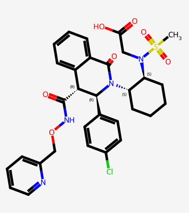 CS(=O)(=O)N(CC(=O)O)[C@H]1CCCC[C@@H]1N1C(=O)c2ccccc2[C@@H](C(=O)NOCc2ccccn2)[C@@H]1c1ccc(Cl)cc1